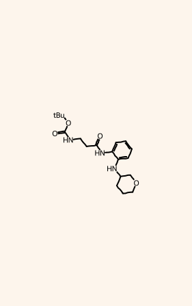 CC(C)(C)OC(=O)NCCC(=O)Nc1ccccc1NC1CCCOC1